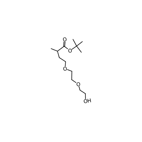 CC(CCOCCOCCO)C(=O)OC(C)(C)C